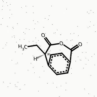 CC[C@H]1C(=O)OC(=O)c2ccc1cc2